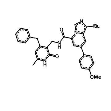 CCC(C)c1ncn2c(C(=O)NCc3c(Cc4ccccc4)cc(C)[nH]c3=O)cc(-c3ccc(OC)cc3)cc12